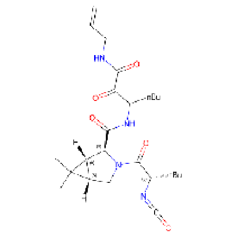 C=CCNC(=O)C(=O)C(CCCC)NC(=O)[C@@H]1[C@@H]2[C@H](CN1C(=O)[C@@H](N=C=O)C(C)(C)C)C2(C)C